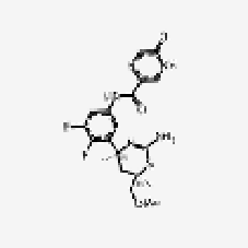 COC[C@@]1(C)C[C@@](C)(c2cc(NC(=O)c3c[nH]c(=O)cn3)cc(F)c2F)N=C(N)S1